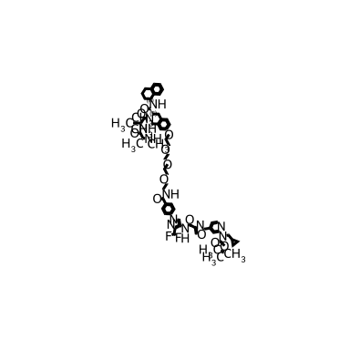 CNC(C)C(=O)NC(C(=O)N1Cc2cc(OCCOCCOCCOCCNC(=O)c3ccc(-n4cc(NC(=O)c5coc(-c6ccnc(N(CC7CC7)C(=O)OC(C)(C)C)c6)n5)c(C(F)F)n4)cc3)ccc2C[C@H]1C(=O)N[C@@H]1CCCc2ccccc21)C(C)(C)C